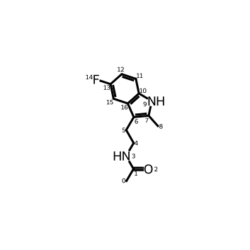 CC(=O)NCCc1c(C)[nH]c2ccc(F)cc12